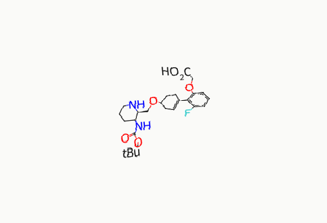 CC(C)(C)OC(=O)N[C@H]1CCCN[C@H]1COC1CC=C(c2c(F)cccc2OCC(=O)O)CC1